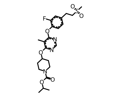 Cc1c(Oc2ccc(CCS(C)(=O)=O)cc2F)ncnc1OC1CCN(C(=O)OC(C)C)CC1